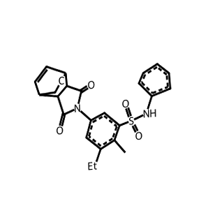 CCc1cc(N2C(=O)C3C4C=CC(CC4)C3C2=O)cc(S(=O)(=O)Nc2ccccc2)c1C